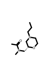 CCCN1CCO[C@H](CN(C)C(C)=O)C1